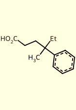 CCC(C)(CCC(=O)O)c1ccccc1